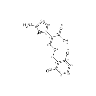 Nc1nc(C(=NOCc2c(Cl)cccc2Cl)C(=O)O)cs1